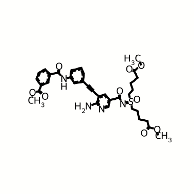 COC(=O)CCCCS(=O)(CCCCC(=O)OC)=NC(=O)c1cnc(N)c(C#Cc2cccc(NC(=O)c3cccc(C(=O)OC)c3)c2)c1